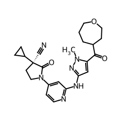 Cn1nc(Nc2cc(N3CC[C@@](C#N)(C4CC4)C3=O)ccn2)cc1C(=O)C1CCCOCC1